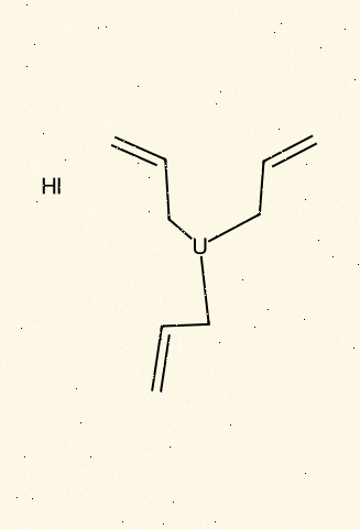 C=C[CH2][U]([CH2]C=C)[CH2]C=C.I